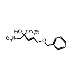 CCOC(=O)C(O)(/C=C/COCc1ccccc1)C[N+](=O)[O-]